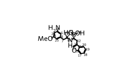 COc1cc(N)cc(CC(=O)NC(Cc2coc3ccccc23)B(O)O)c1